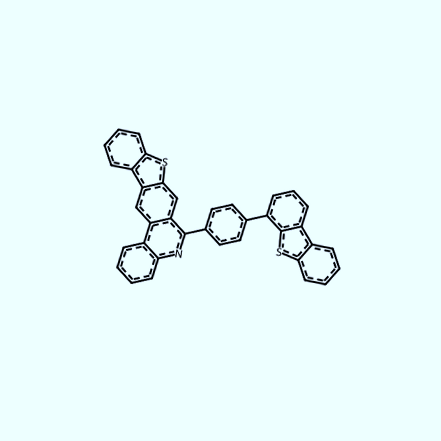 c1ccc2c(c1)nc(-c1ccc(-c3cccc4c3sc3ccccc34)cc1)c1cc3sc4ccccc4c3cc12